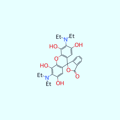 CCN(CC)c1c(O)cc2c(c1O)Oc1c(cc(O)c(N(CC)CC)c1O)C21OC(=O)c2ccccc21